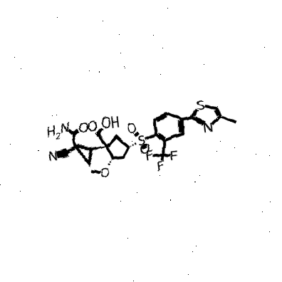 CO[C@H]1C[C@@H](S(=O)(=O)c2ccc(-c3nc(C)cs3)cc2C(F)(F)F)C[C@]1(C(=O)O)C1CC1(C#N)C(N)=O